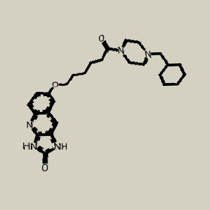 O=C(CCCCCOc1ccc2nc3[nH]c(=O)[nH]c3cc2c1)N1CCN(CC2CCCCC2)CC1